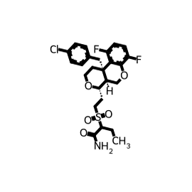 CCC(C(N)=O)S(=O)(=O)CC[C@@H]1OCC[C@@]2(Cc3ccc(Cl)cc3)c3c(F)ccc(F)c3OC[C@@H]12